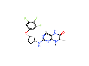 Cc1nc(N[C@@H]2CC[C@H](Oc3cc(F)c(F)c(F)c3)C2)nc2c1NC(=O)[C@H](C)N2C